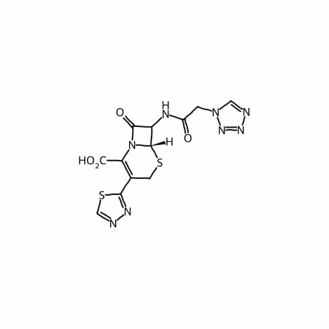 O=C(Cn1cnnn1)NC1C(=O)N2C(C(=O)O)=C(c3nncs3)CS[C@@H]12